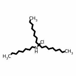 CCCCCCCCNC(Cl)(CCCCCCCC)CCCCCCCC